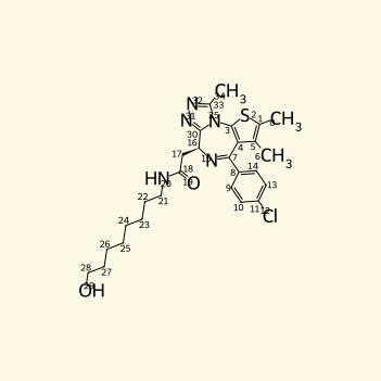 Cc1sc2c(c1C)C(c1ccc(Cl)cc1)=N[C@@H](CC(=O)NCCCCCCCCO)c1nnc(C)n1-2